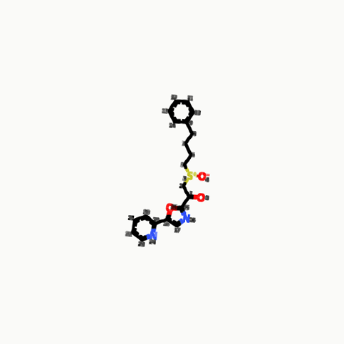 O=C(C[S+]([O-])CCCCc1ccccc1)c1ncc(-c2ccccn2)o1